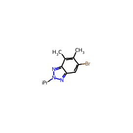 Cc1c(Br)cc2nn(C(C)C)nc2c1C